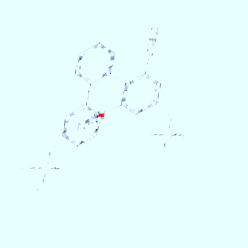 N#[N+]c1cccc([N+]#N)c1-c1ccccc1-c1ccccc1.[O-][Cl+3]([O-])([O-])[O-].[O-][Cl+3]([O-])([O-])[O-]